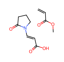 C=CC(=O)OC.O=C(O)C=CN1CCCC1=O